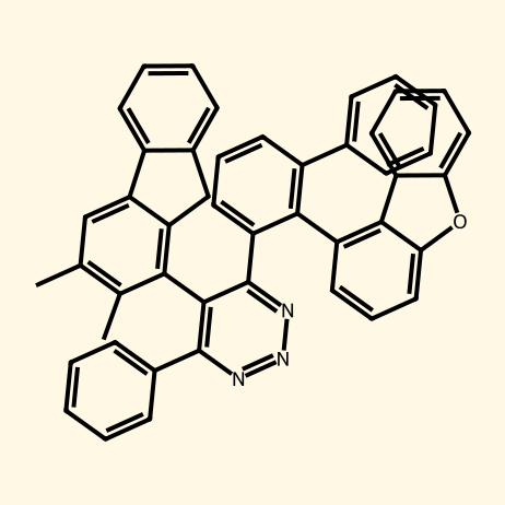 Cc1cc2c(c(-c3c(-c4ccccc4)nnnc3-c3cccc(-c4ccccc4)c3-c3cccc4oc5ccccc5c34)c1C)Cc1ccccc1-2